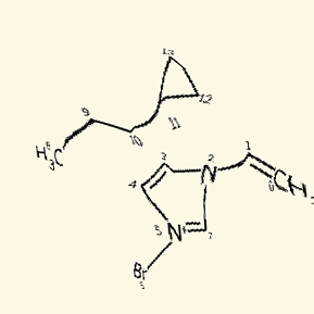 C=Cn1cc[n+](Br)c1.CCCC1CC1